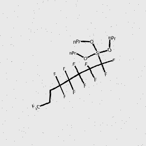 CCCO[Si](OCCC)(OCCC)C(F)(F)C(F)(F)C(F)(F)C(F)(F)C(F)(F)CCC(F)(F)F